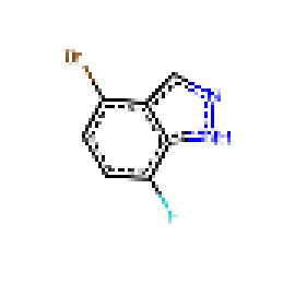 Fc1ccc(Br)c2cn[nH]c12